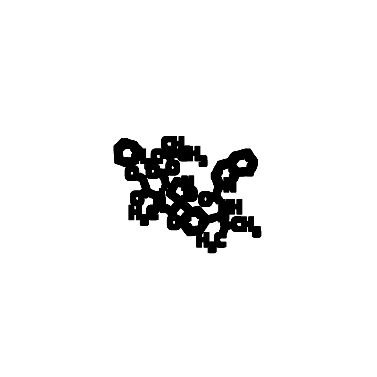 CC(C)[C@H](NC(=O)c1ccc2ccccc2n1)c1cccc(C2(C(=O)N(C)[C@@H](CC(=O)OC(C)(C)C)C(=O)COc3ccccc3)CC=NO2)c1